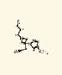 Cc1cnn(C2(CC#N)CN(CCCF)C2)c1